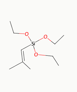 CCO[Si](C=C(C)C)(OCC)OCC